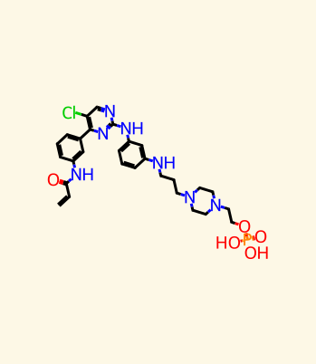 C=CC(=O)Nc1cccc(-c2nc(Nc3cccc(NCCCN4CCN(CCOP(=O)(O)O)CC4)c3)ncc2Cl)c1